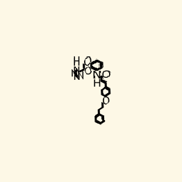 O=C(C=Cc1ccc(OCCCc2ccccc2)cc1)Nc1cccc2c1OC(c1nnn[nH]1)CO2